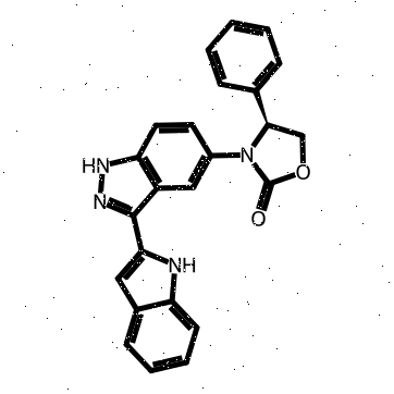 O=C1OC[C@H](c2ccccc2)N1c1ccc2[nH]nc(-c3cc4ccccc4[nH]3)c2c1